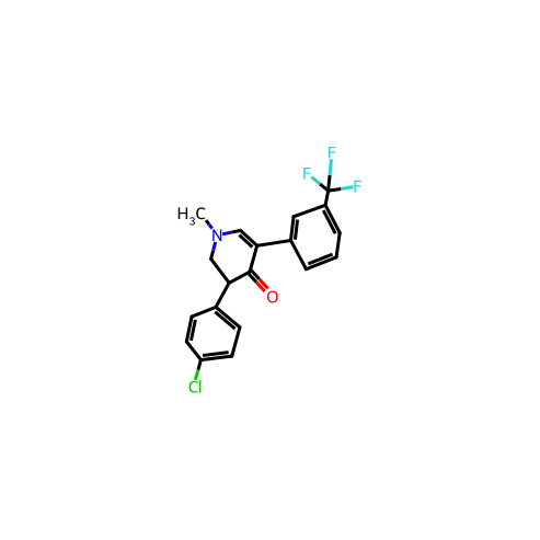 CN1C=C(c2cccc(C(F)(F)F)c2)C(=O)C(c2ccc(Cl)cc2)C1